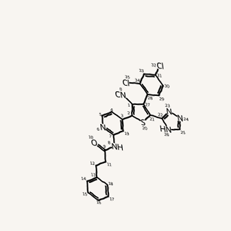 [C-]#[N+]c1c(-c2ccnc(NC(=O)CCc3ccccc3)c2)sc(-c2nnc[nH]2)c1-c1ccc(Cl)cc1Cl